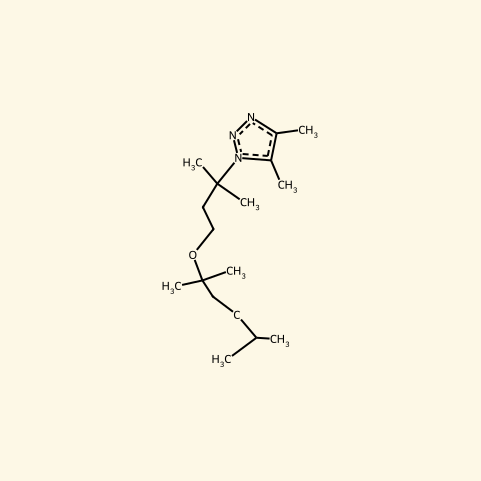 Cc1nnn(C(C)(C)CCOC(C)(C)CCC(C)C)c1C